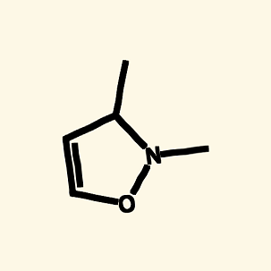 CC1C=CON1C